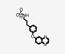 O=[SH](=O)NCCCc1cccc(Oc2ccc3nccnc3c2)c1